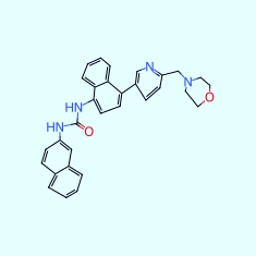 O=C(Nc1ccc2ccccc2c1)Nc1ccc(-c2ccc(CN3CCOCC3)nc2)c2ccccc12